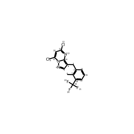 Cc1c(Cc2cnn3c(Cl)cc(Cl)nc23)cccc1C(F)(F)F